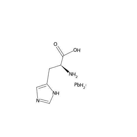 N[C@@H](Cc1cnc[nH]1)C(=O)O.[PbH2]